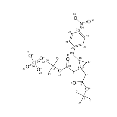 CC(C)(C)OC(=O)C[N+]1(CC(=O)OC(C)(C)C)CC1Cc1ccc([N+](=O)[O-])cc1.[O-][Cl+3]([O-])([O-])[O-]